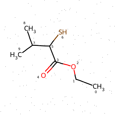 CCOC(=O)C(S)C(C)C